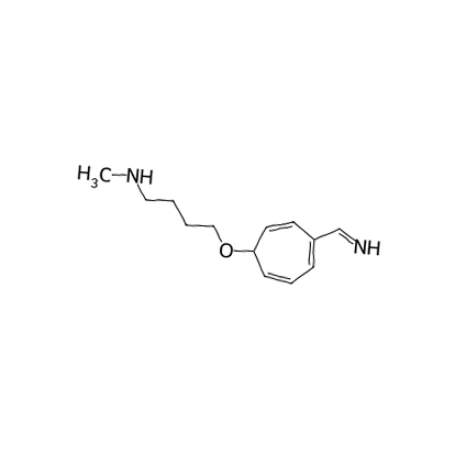 CNCCCCOC1C=CC=C(C=N)C=C1